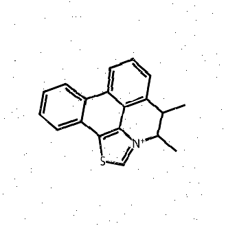 CC1c2cccc3c4ccccc4c4sc[n+](c4c23)C1C